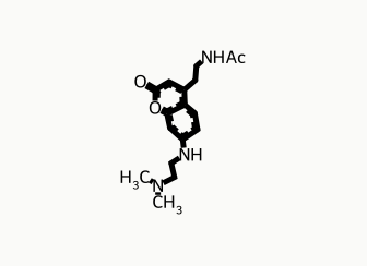 CC(=O)NCCc1cc(=O)oc2cc(NCCN(C)C)ccc12